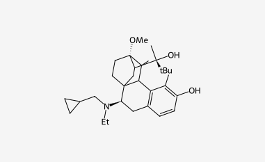 CCN(CC1CC1)[C@@H]1Cc2ccc(O)c(C)c2C2C(C)[C@]3(OC)CCC21CC3[C@](C)(O)C(C)(C)C